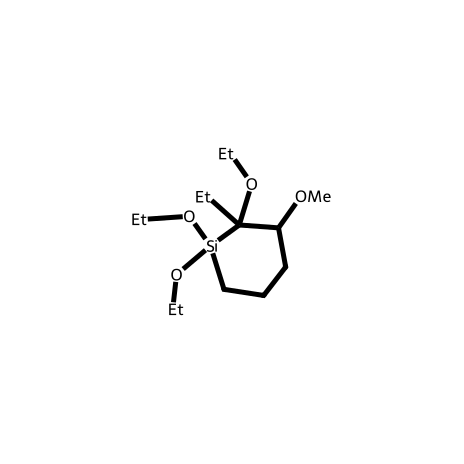 CCOC1(CC)C(OC)CCC[Si]1(OCC)OCC